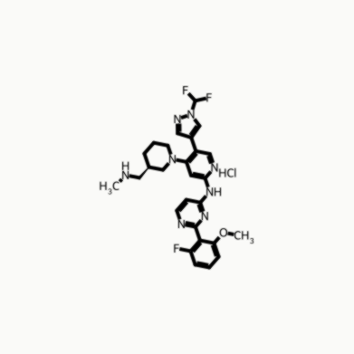 CNC[C@H]1CCCN(c2cc(Nc3ccnc(-c4c(F)cccc4OC)n3)ncc2-c2cnn(C(F)F)c2)C1.Cl